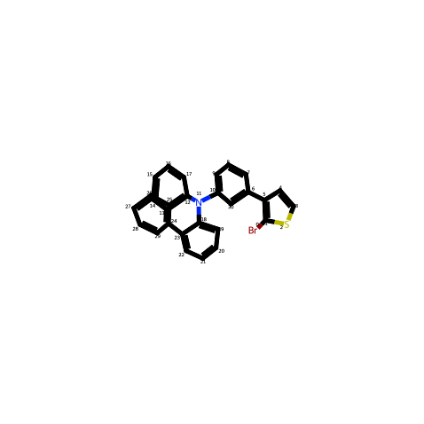 Brc1sccc1-c1cccc(N(c2ccccc2)c2ccccc2-c2ccccc2)c1